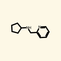 c1ccc(CNC2CCCC2)nc1